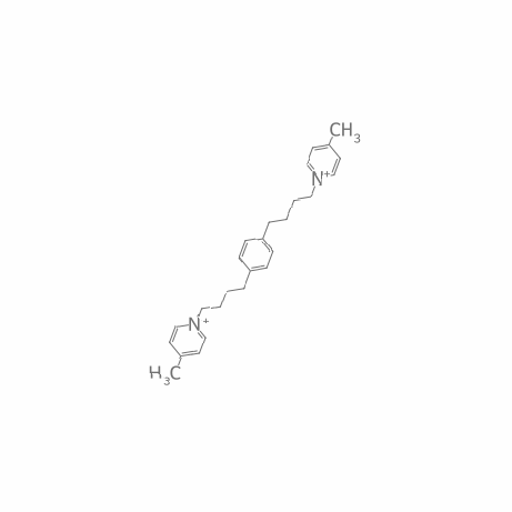 Cc1cc[n+](CCCCc2ccc(CCCC[n+]3ccc(C)cc3)cc2)cc1